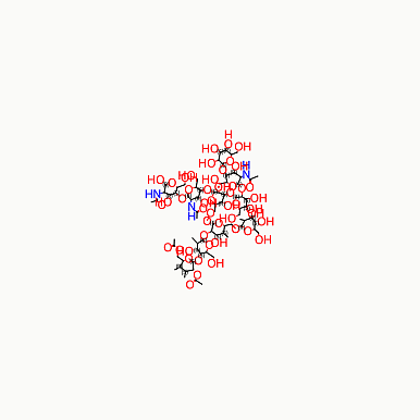 CC(=O)NC1[C@H](OC2[C@@H](O[C@@H]3C(O)[C@H](O[C@@H]4C(CO)O[C@@H](O[C@@H]5C(CO)O[C@@H](O)C(NC(C)=O)[C@H]5O)C(NC(C)=O)[C@H]4O)OC(COO[C@@H]4OC(CO[C@@H]5OC(CO)[C@@H](O)[C@H](O)C5C)[C@@H](C)[C@H](O)C4O[C@@H]4OC(CO)[C@@H](O[C@@H]5OC(COC(C)=O)[C@H](C)[C@H](C)C5OC(C)=O)[C@H](O)C4C)[C@H]3O)OC(CO)[C@@H](O)[C@@H]2O)OC(CO)[C@@H](O[C@@H]2OC(CO)[C@H](O)[C@H](O)C2O)[C@@H]1O